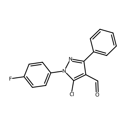 O=Cc1c(-c2ccccc2)nn(-c2ccc(F)cc2)c1Cl